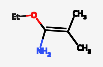 CCOC(N)=C(C)C